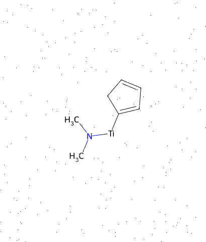 C[N](C)[Ti][C]1=CC=CC1